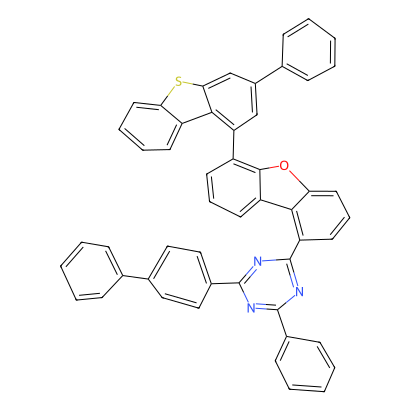 c1ccc(-c2ccc(-c3nc(-c4ccccc4)nc(-c4cccc5oc6c(-c7cc(-c8ccccc8)cc8sc9ccccc9c78)cccc6c45)n3)cc2)cc1